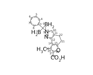 BC(B)(c1ccccc1)n1cc2c(n1)-c1c(oc(C(=O)O)c1C)CC2